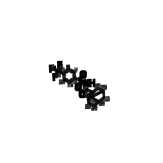 O=C(NS(=O)(=O)c1ccc(C(F)(F)F)cc1)C12CC3CC(CC(C3)C1)C2